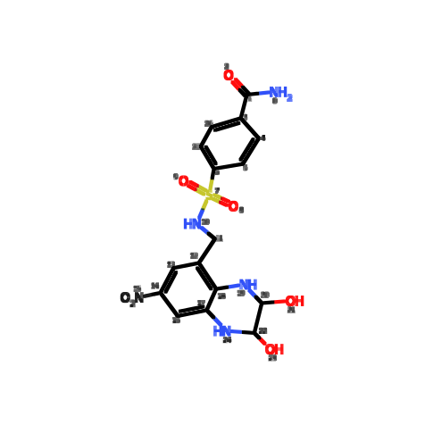 NC(=O)c1ccc(S(=O)(=O)NCc2cc([N+](=O)[O-])cc3c2NC(O)C(O)N3)cc1